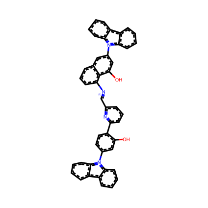 Oc1cc(-n2c3ccccc3c3ccccc32)ccc1-c1cccc(/C=N/c2cccc3cc(-n4c5ccccc5c5ccccc54)cc(O)c23)n1